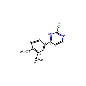 COc1ccc(-c2ccnc(Cl)n2)cc1OC